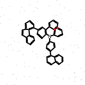 c1ccc(-c2cc(-c3cccc4ccc5ccccc5c34)ccc2N(c2ccccc2)c2ccc(-c3cccc4ccccc34)cc2)cc1